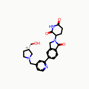 O=C1CCC(N2Cc3cc(-c4cc(CN5CC[C@H](CO)C5)ccn4)ccc3C2=O)C(=O)N1